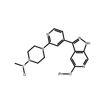 CC(C)Oc1cc2c(-c3ccnc(N4CCN([S+](C)[O-])CC4)c3)n[nH]c2cn1